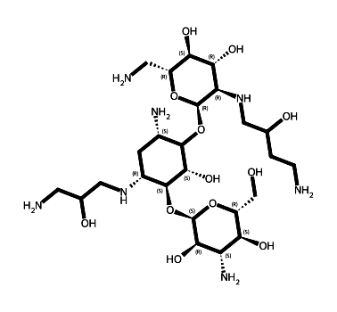 NCCC(O)CN[C@H]1[C@@H](OC2[C@@H](N)C[C@@H](NCC(O)CN)[C@H](O[C@H]3O[C@H](CO)[C@@H](O)[C@H](N)[C@H]3O)[C@H]2O)O[C@H](CN)[C@@H](O)[C@@H]1O